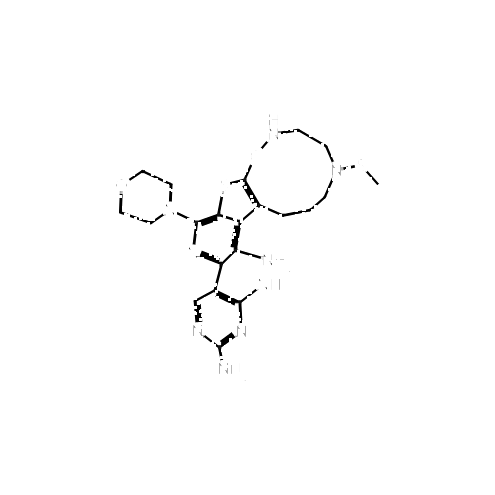 CSN1CCCc2c(sc3c(N4CCOCC4)nc(-c4cnc(N)nc4N)c(N)c23)CNCC1